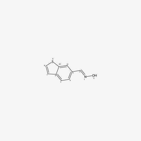 O/N=C/c1ccc2ccsc2c1